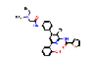 CC(C)(C)CN(CC(=O)Nc1cccc(-c2cc(-c3ccccc3O)nc(NC(=O)c3cccs3)c2C#N)c1)C(=O)O